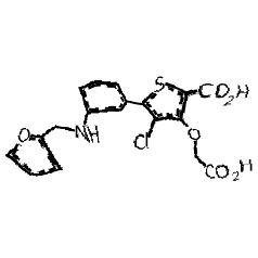 O=C(O)COc1c(C(=O)O)sc(-c2cccc(NCc3ccco3)c2)c1Cl